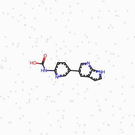 O=C(O)Nc1ccc(-c2cnc3[nH]ccc3c2)cn1